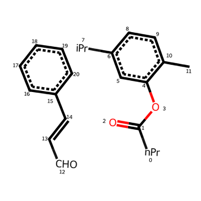 CCCC(=O)Oc1cc(C(C)C)ccc1C.O=C/C=C/c1ccccc1